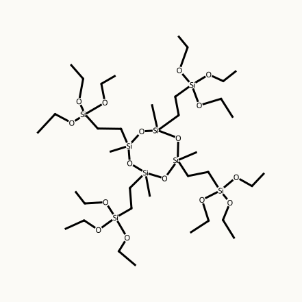 CCO[Si](CC[Si]1(C)O[Si](C)(CC[Si](OCC)(OCC)OCC)O[Si](C)(CC[Si](OCC)(OCC)OCC)O[Si](C)(CC[Si](OCC)(OCC)OCC)O1)(OCC)OCC